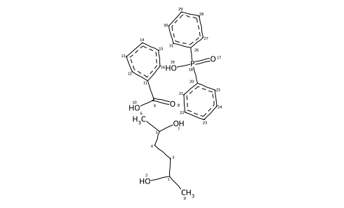 CC(O)CCC(C)O.O=C(O)c1ccccc1.O=P(O)(c1ccccc1)c1ccccc1